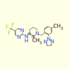 Cc1ccc(CN2CCC[C@@H](Nc3ncc(C(F)(F)F)cn3)[C@@H]2C)c(-n2nccn2)c1